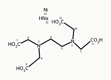 O=C(O)CN(CCN(CC(=O)O)CC(=O)O)CC(=O)O.[NaH].[Ni]